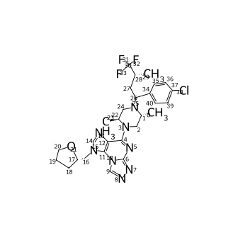 C[C@@H]1CN(c2nc3nncn3c3c2ncn3C[C@@H]2CCCO2)[C@@H](C)CN1C(C[C@@H](C)C(F)(F)F)c1ccc(Cl)cc1